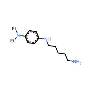 CCN(CC)c1ccc(NCCCCCN)cc1